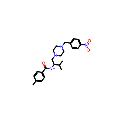 Cc1ccc(C(=O)NC(CN2CCN(Cc3ccc([N+](=O)[O-])cc3)CC2)C(C)C)cc1